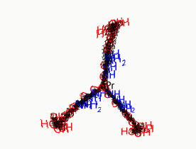 CC(C)C(COCCC(=O)NCCCNC(=O)CC/C(N)=C/NCCOCCOCCOCCO[C@H]1OC(CO)[C@@H](O)C(O)C1O)(COCCC(=O)NCCCNC(=O)CC/C(N)=C/NCCOCCOCCOCCO[C@H]1OC(CO)[C@@H](O)C(O)C1O)COCCC(=O)NCCCNC(=O)CC/C(N)=C/NCCOCCOCCOCCO[C@H]1OC(CO)[C@@H](O)C(O)C1O